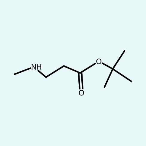 CNCCC(=O)OC(C)(C)C